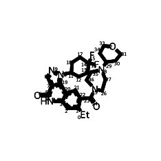 CCc1cc2[nH]c(=O)c3cnn(C4CCC(F)(F)CC4)c3c2cc1C(=O)N1CCN(C2CCOCC2)CC1